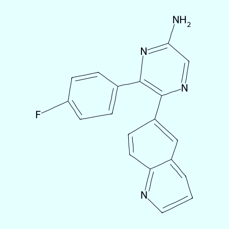 Nc1cnc(-c2ccc3ncccc3c2)c(-c2ccc(F)cc2)n1